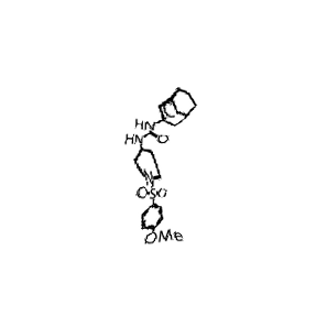 COc1ccc(S(=O)(=O)N2CCC(NC(=O)NC34CC5CCCC(C5)(C3)C4)CC2)cc1